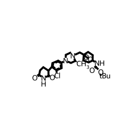 C[C@H]1CN(c2ccc(C3CCC(=O)NC3=O)c(Cl)c2)CCN1CC12CCC(NC(=O)OC(C)(C)C)(CC1)CO2